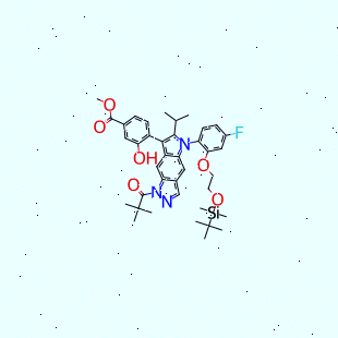 COC(=O)c1ccc(-c2c(C(C)C)n(-c3ccc(F)cc3OCCO[Si](C)(C)C(C)(C)C)c3cc4cnn(C(=O)C(C)(C)C)c4cc23)c(O)c1